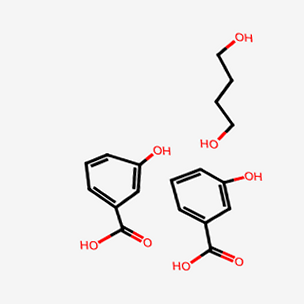 O=C(O)c1cccc(O)c1.O=C(O)c1cccc(O)c1.OCCCCO